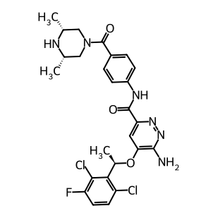 C[C@@H]1CN(C(=O)c2ccc(NC(=O)c3cc(O[C@H](C)c4c(Cl)ccc(F)c4Cl)c(N)nn3)cc2)C[C@H](C)N1